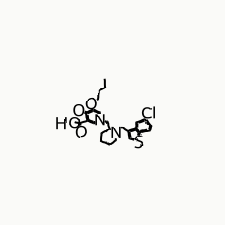 CCCCOc1cn(CC2CCCCN2Cc2csc3ccc(Cl)cc23)cc(C(=O)O)c1=O